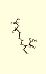 CCC(CCCCC(=O)CC(C)=O)C(=O)O